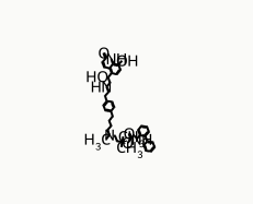 CN(CCCCc1ccc(CCNC[C@@H](O)c2ccc(O)c3[nH]c(=O)ccc23)cc1)CCC(C)(C)OC(=O)Nc1ccccc1-c1ccccc1